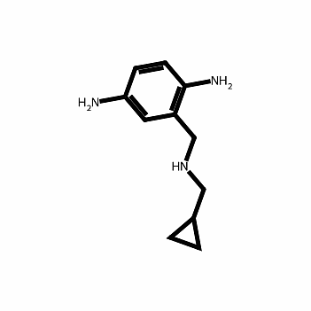 Nc1ccc(N)c(CNCC2CC2)c1